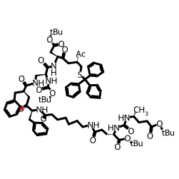 CC(=O)[C@H](CSC(c1ccccc1)(c1ccccc1)c1ccccc1)CC(=O)[C@H](CC(=O)OC(C)(C)C)NC(=O)[C@H](CNC(=O)[C@@H](CC(=O)[C@H](Cc1ccccc1)NC(=O)CCCCCCNC(=O)CC[C@H](NC(=O)N[C@H](C)CCC(=O)OC(C)(C)C)C(=O)OC(C)(C)C)Cc1ccccc1)NC(=O)OC(C)(C)C